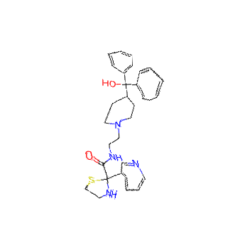 O=C(NCCN1CCC(C(O)(c2ccccc2)c2ccccc2)CC1)C1(c2cccnc2)NCCS1